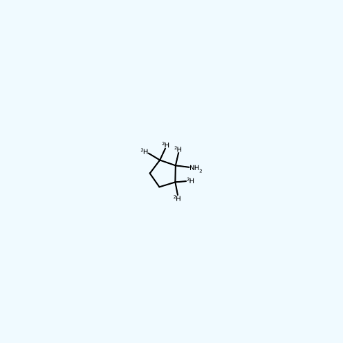 [2H]C1([2H])CCC([2H])([2H])C1([2H])N